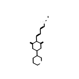 CCONC=CC=CC1C(=O)CC(C2CCCOC2)CC1=O